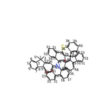 CC1(C)c2ccccc2-c2ccc(N(c3ccccc3-c3ccccc3)c3cc4c(c5ccccc35)Sc3ccccc3C43c4ccccc4-c4ccccc43)cc21